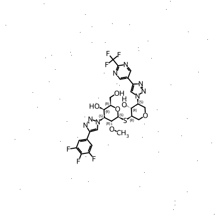 CO[C@@H]1[C@@H](n2cc(-c3cc(F)c(F)c(F)c3)nn2)[C@@H](O)[C@@H](CO)O[C@H]1S[C@@H]1COC[C@H](n2cc(-c3cnc(C(F)(F)F)nc3)nn2)[C@H]1O